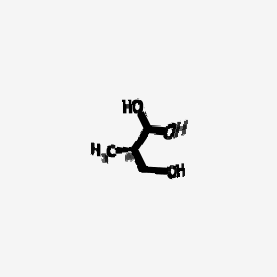 C[C@H](CO)C(O)O